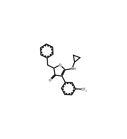 O=C1C(c2cccc(C(F)(F)F)c2)=C(NC2CC2)OC1Cc1ccccc1